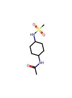 CC(=O)NC1CCC(NS(C)(=O)=O)CC1